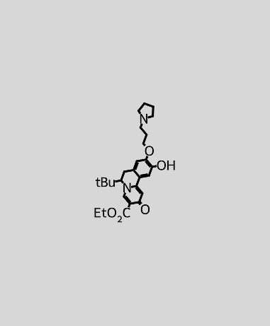 CCOC(=O)c1cn2c(cc1=O)-c1cc(O)c(OCCCN3CCCC3)cc1CC2C(C)(C)C